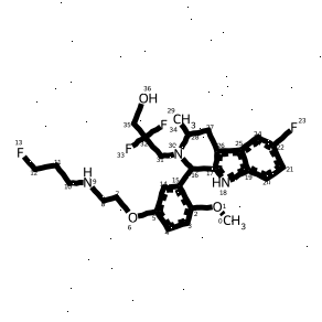 COc1ccc(OCCNCCCF)cc1C1c2[nH]c3ccc(F)cc3c2CC(C)N1CC(F)(F)CO